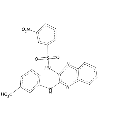 O=C(O)c1cccc(Nc2nc3ccccc3nc2NS(=O)(=O)c2cccc([N+](=O)[O-])c2)c1